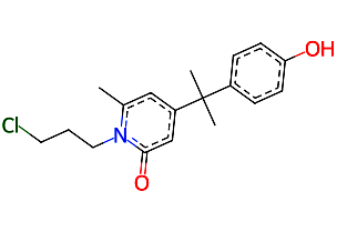 Cc1cc(C(C)(C)c2ccc(O)cc2)cc(=O)n1CCCCl